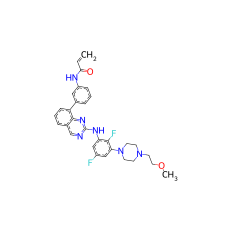 C=CC(=O)Nc1cccc(-c2cccc3cnc(Nc4cc(F)cc(N5CCN(CCOC)CC5)c4F)nc23)c1